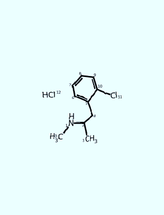 CNC(C)Cc1ccccc1Cl.Cl